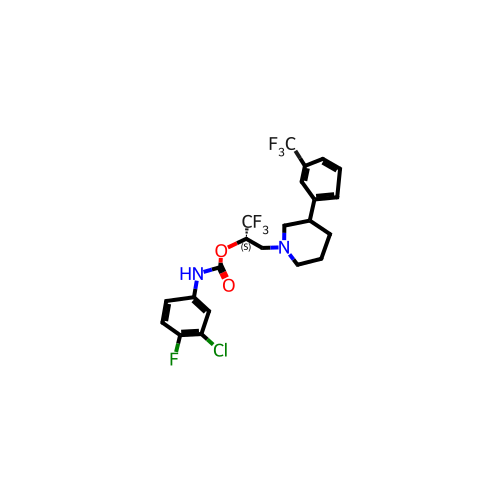 O=C(Nc1ccc(F)c(Cl)c1)O[C@@H](CN1CCCC(c2cccc(C(F)(F)F)c2)C1)C(F)(F)F